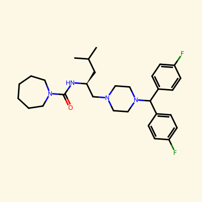 CC(C)C[C@@H](CN1CCN(C(c2ccc(F)cc2)c2ccc(F)cc2)CC1)NC(=O)N1CCCCCC1